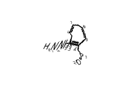 N.N.O=Pc1ccccc1